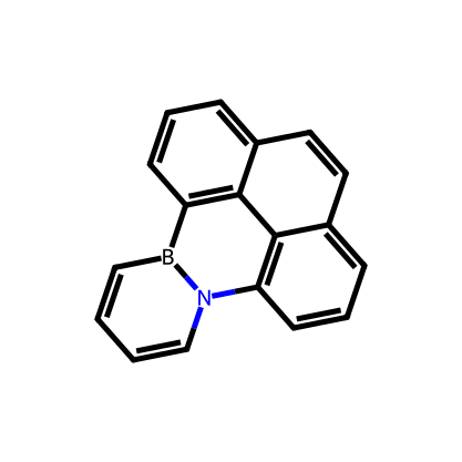 C1=CB2c3cccc4ccc5cccc(c5c34)N2C=C1